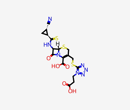 N#C[C@H]1C[C@@H]1C(=S)NC1C(=O)N2C(C(=O)O)=C(CSc3nnnn3CCC(=O)O)CS[C@@H]12